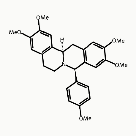 COc1ccc([C@@H]2c3cc(OC)c(OC)cc3C[C@@H]3c4cc(OC)c(OC)cc4CCN23)cc1